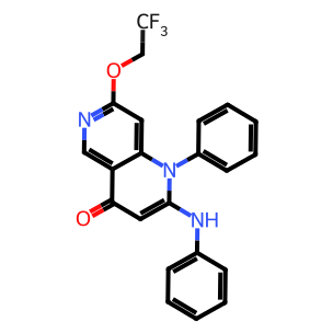 O=c1cc(Nc2ccccc2)n(-c2ccccc2)c2cc(OCC(F)(F)F)ncc12